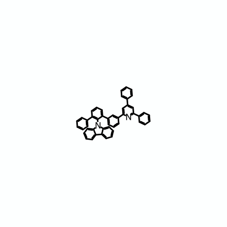 c1ccc(-c2cc(-c3ccccc3)nc(-c3cccc(-c4cccc(-c5ccccc5)c4-n4c5ccccc5c5ccccc54)c3)c2)cc1